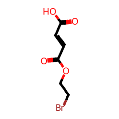 O=C(O)C=CC(=O)OCCBr